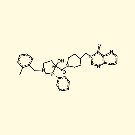 Cc1ccccc1CN1CC[C@](O)(C(=O)N2CCC(Cn3cnc4cccnc4c3=O)CC2)[C@H](c2ccccc2)C1